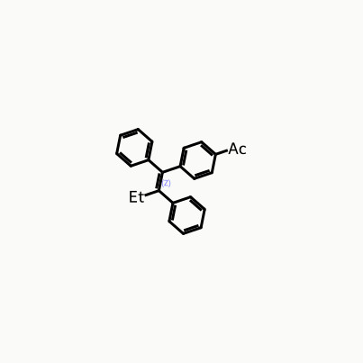 CC/C(=C(\c1ccccc1)c1ccc(C(C)=O)cc1)c1ccccc1